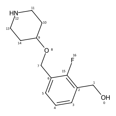 OCc1cccc(COC2CCNCC2)c1F